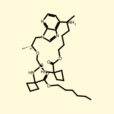 CCCCCCOC(=O)C1(NP(=O)(CO[C@H](C)Cn2cnc3c(N)ccnc32)NC2(C(=O)OCCCCCC)CCC2)CCC1